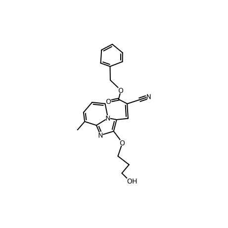 Cc1cccn2c(/C=C(/C#N)C(=O)OCc3ccccc3)c(OCCCO)nc12